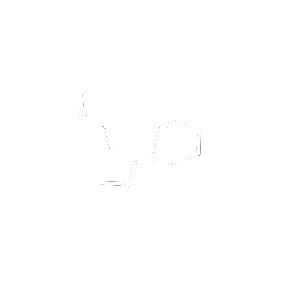 CCNC(=O)c1s[c]nc1-c1ccccc1